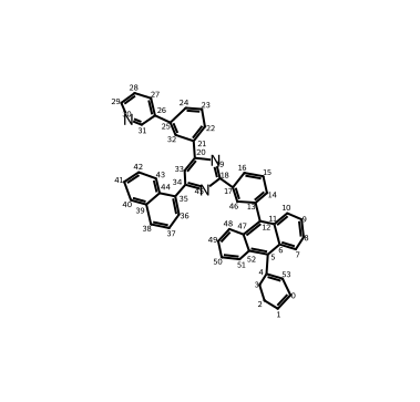 C1=CCCC(c2c3ccccc3c(-c3cccc(-c4nc(-c5cccc(-c6cccnc6)c5)cc(-c5cccc6ccccc56)n4)c3)c3ccccc23)=C1